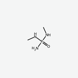 CNP(N)(=O)NC